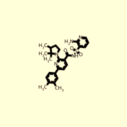 Cc1ccc(-c2ccc(C(=O)NS(=O)(=O)c3cccnc3N)c(N3CCC(C)C3(C)C)n2)cc1C